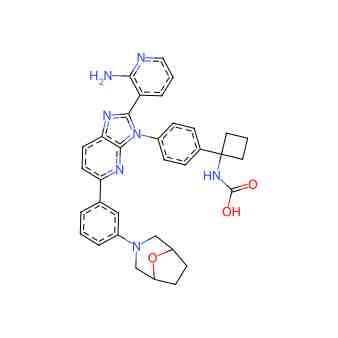 Nc1ncccc1-c1nc2ccc(-c3cccc(N4CC5CCC(C4)O5)c3)nc2n1-c1ccc(C2(NC(=O)O)CCC2)cc1